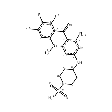 COc1cc(F)c(F)c(F)c1C(=O)c1cnc(NC2CCN(S(C)(=O)=O)CC2)nc1N